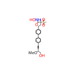 COC(C#Cc1ccc(-c2ccc(CC[C@](C)(C(=O)NO)S(C)(=O)=O)cc2)cc1)CO